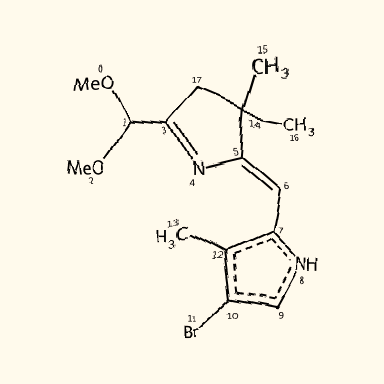 COC(OC)C1=N/C(=C\c2[nH]cc(Br)c2C)C(C)(C)C1